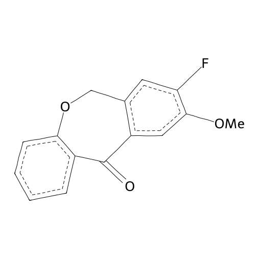 COc1cc2c(cc1F)COc1ccccc1C2=O